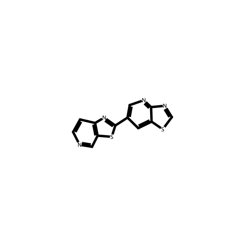 c1cc2nc(-c3cnc4ncsc4c3)sc2cn1